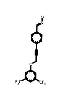 [O]/N=C/c1ccc(C#CCOc2cc(C(F)(F)F)cc(C(F)(F)F)c2)cc1